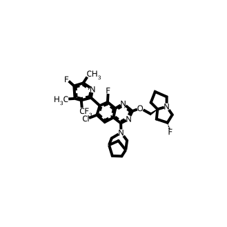 Cc1nc(-c2c(Cl)cc3c(N4CC5CCC(C5)C4)nc(OC[C@@]45CCCN4C[C@H](F)C5)nc3c2F)c(C(F)(F)F)c(C)c1F